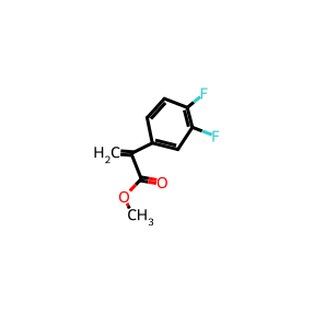 C=C(C(=O)OC)c1ccc(F)c(F)c1